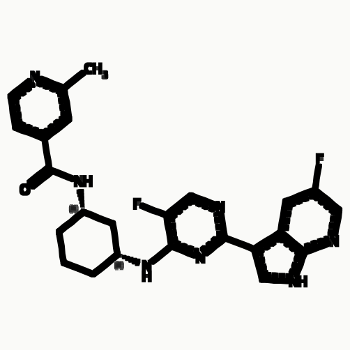 Cc1cc(C(=O)N[C@H]2CCC[C@@H](Nc3nc(-c4c[nH]c5ncc(F)cc45)ncc3F)C2)ccn1